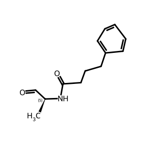 C[C@@H](C=O)NC(=O)CCCc1ccccc1